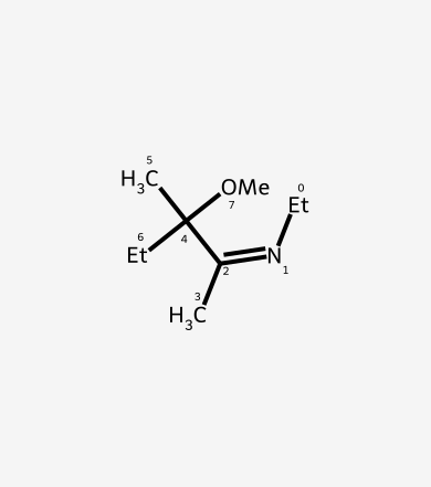 CCN=C(C)C(C)(CC)OC